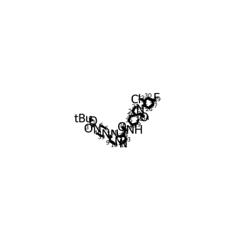 CC(C)(C)OC(=O)N1CCN(c2ccn3ncc(C(=O)N[C@H]4CC[C@@]5(CCN(c6ccc(F)cc6Cl)C5=O)CC4)c3n2)CC1